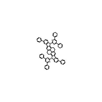 C1=CCCC(c2cc(C3=CCCC=C3)nc(-n3c4ccc(-c5ccccc5)cc4c4cc5c6c(c43)CCc3cc4c7cc(-c8ccccc8)ccc7n(-c7nc(-c8ccccc8)cc(-c8ccccc8)n7)c4c(c3-6)CC5)n2)=C1